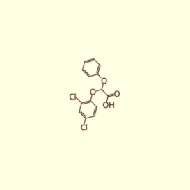 O=C(O)C(Oc1ccccc1)Oc1ccc(Cl)cc1Cl